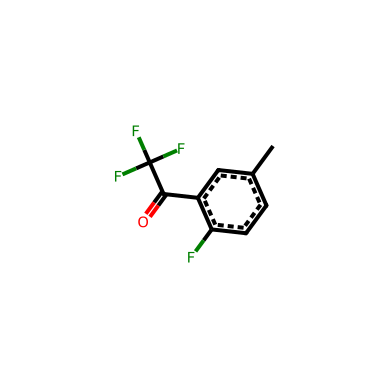 Cc1ccc(F)c(C(=O)C(F)(F)F)c1